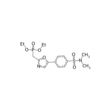 CCOP(=O)(Cc1ncc(-c2ccc(S(=O)(=O)N(C)C)cc2)o1)OCC